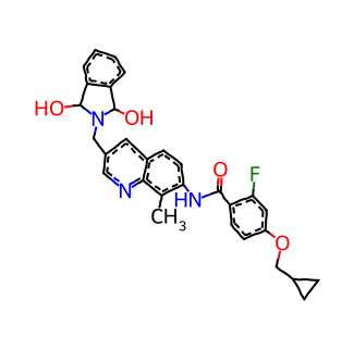 Cc1c(NC(=O)c2ccc(OCC3CC3)cc2F)ccc2cc(CN3C(O)c4ccccc4C3O)cnc12